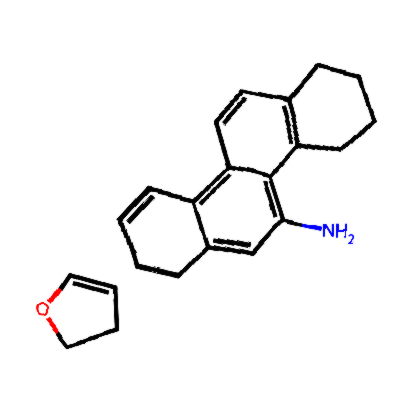 C1=COCC1.Nc1cc2c(c3ccc4c(c13)CCCC4)C=CCC2